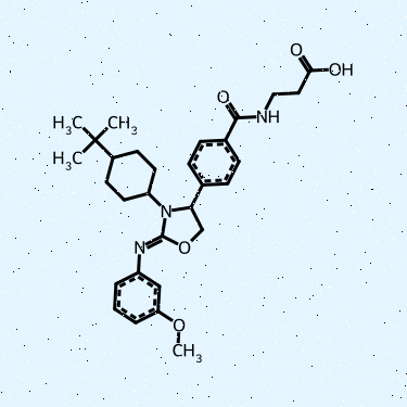 COc1cccc(/N=C2\OCC(c3ccc(C(=O)NCCC(=O)O)cc3)N2C2CCC(C(C)(C)C)CC2)c1